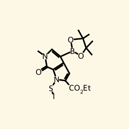 CCOC(=O)c1cc2c(B3OC(C)(C)C(C)(C)O3)cn(C)c(=O)c2n1SI